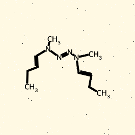 CCC=CN(C)N=NN(C)C=CCC